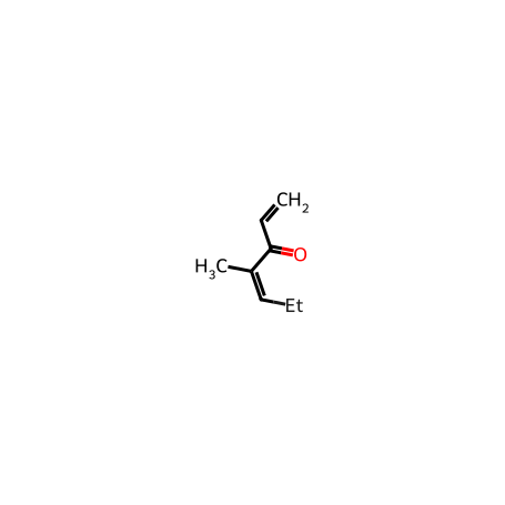 C=CC(=O)C(C)=CCC